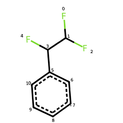 FC(F)C(F)c1c[c]ccc1